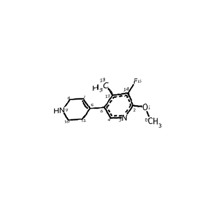 COc1ncc(C2=CCNCC2)c(C)c1F